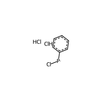 Cl.Cl.Cl[P]c1ccccc1